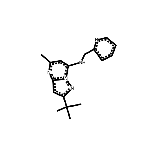 Cc1cc(NCc2ccccn2)n2nc(C(C)(C)C)cc2n1